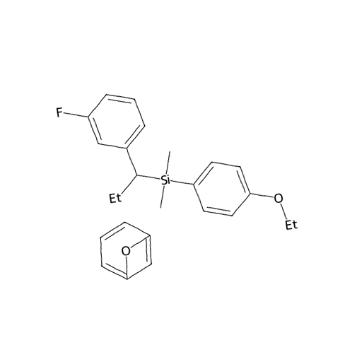 CCOc1ccc([Si](C)(C)C(CC)c2cccc(F)c2)cc1.c1cc2cc(c1)O2